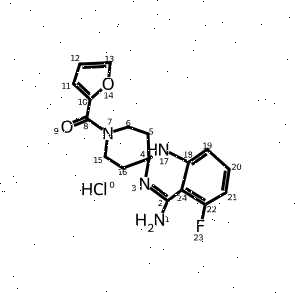 Cl.NC1=NC2(CCN(C(=O)c3ccco3)CC2)Nc2cccc(F)c21